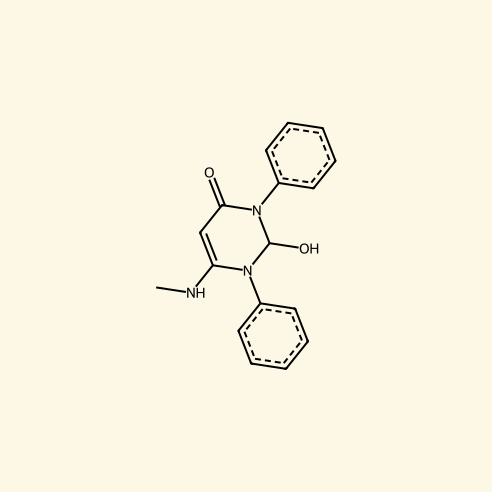 CNC1=CC(=O)N(c2ccccc2)C(O)N1c1ccccc1